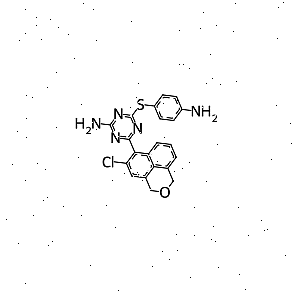 Nc1ccc(Sc2nc(N)nc(-c3c(Cl)cc4c5c(cccc35)COC4)n2)cc1